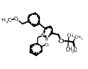 COCc1cccc(-c2cc(COC(C)(C)C(C)=O)nn2Cc2ccccc2Cl)c1